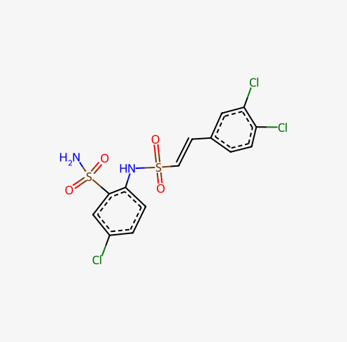 NS(=O)(=O)c1cc(Cl)ccc1NS(=O)(=O)C=Cc1ccc(Cl)c(Cl)c1